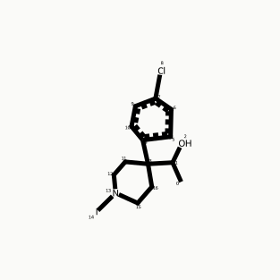 CC(O)C1(c2ccc(Cl)cc2)CCN(I)CC1